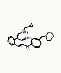 N=C/C(=C\NCC1CC1)c1ccncc1/C=C/NC1=CC=C(CN2CCOCC2)CC=C1